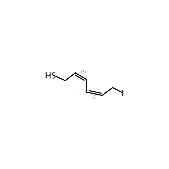 SC/C=C\C=C/CI